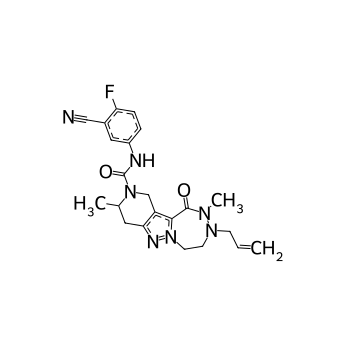 C=CCN1CCn2nc3c(c2C(=O)N1C)CN(C(=O)Nc1ccc(F)c(C#N)c1)C(C)C3